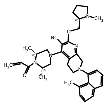 C=CC(=O)N1[C@H](C)CN(c2c(C#N)c(OC[C@H]3CCCN3C)nc3c2CCN(c2cccc4cccc(C)c24)C3)C[C@@H]1C